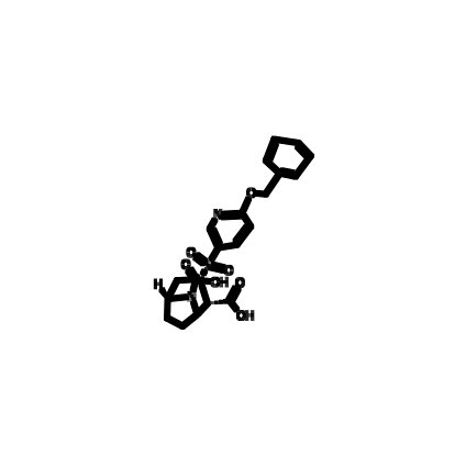 O=C(O)[C@@H]1C2CC[C@H](CN1S(=O)(=O)c1ccc(OCc3ccccc3)nc1)N2C(=O)O